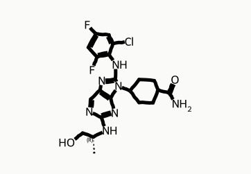 C[C@H](CO)Nc1ncc2nc(Nc3c(F)cc(F)cc3Cl)n(C3CCC(C(N)=O)CC3)c2n1